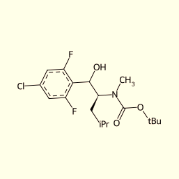 CC(C)C[C@@H](C(O)c1c(F)cc(Cl)cc1F)N(C)C(=O)OC(C)(C)C